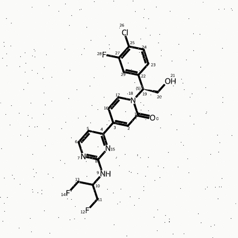 O=c1cc(-c2ccnc(NC(CF)CF)n2)ccn1[C@H](CO)c1ccc(Cl)c(F)c1